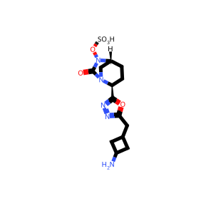 NC1CC(Cc2nnc([C@@H]3CC[C@@H]4CN3C(=O)N4OS(=O)(=O)O)o2)C1